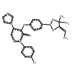 C/C=C1\OB(c2ccc(Oc3c(-n4ccnc4)cnn(-c4ccc(Cl)cc4)c3=O)cc2)OC1(C)C